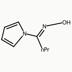 CCCC(=NO)n1cccc1